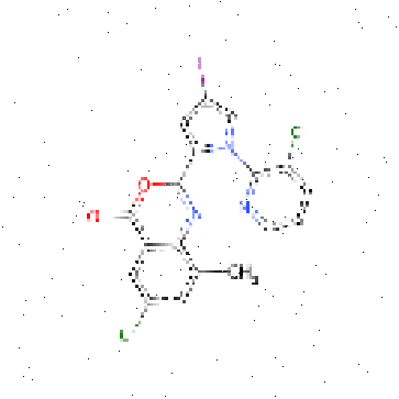 Cc1cc(Cl)cc2c(=O)oc(-c3cc(I)cn3-c3ncccc3Cl)nc12